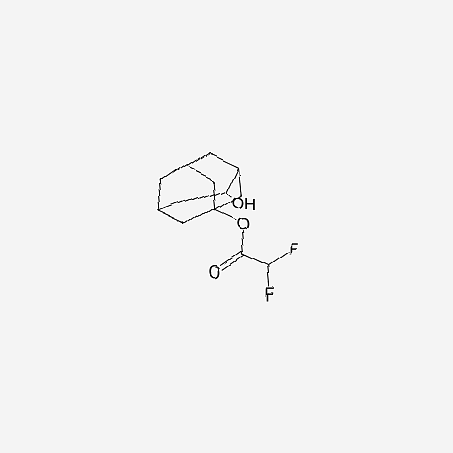 O=C(OC12CC3CC(C1)C(O)C(C3)C2)C(F)F